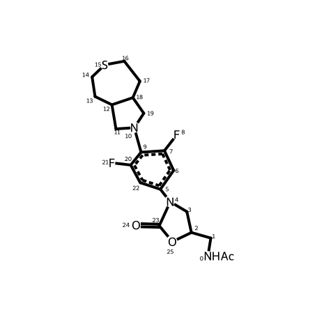 CC(=O)NCC1CN(c2cc(F)c(N3CC4CCSCCC4C3)c(F)c2)C(=O)O1